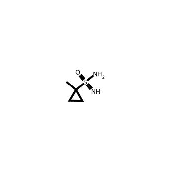 CC1(S(=N)(N)=O)CC1